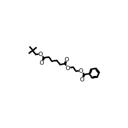 CC(C)(C)COC(=O)CCCCC(=O)OCCOC(=O)c1ccccc1